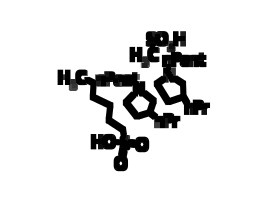 CCCCCCS(=O)(=O)O.CCCCCN1CCC(CCC)C1.CCCCCN1CCC(CCC)C1.CS(=O)(=O)O